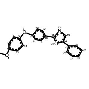 COc1ccc(Oc2ccc(-c3ncc(-c4ccccc4)o3)cc2)cc1